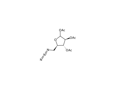 CC(=O)OC1O[C@H](CN=[N+]=[N-])[C@@H](OC(C)=O)[C@@H]1OC(C)=O